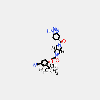 CC(C)(C)c1cc(C#N)ccc1OCC(=O)N1C[C@H]2CN(C(=O)[C@@H]3CCc4[nH]nnc4C3)C[C@@H]2C1